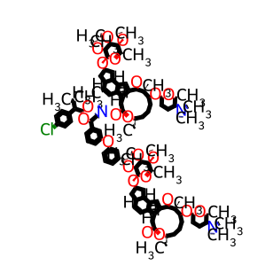 CC(C)C(C(=O)OC(C#N)c1cccc(Oc2ccccc2)c1)c1ccc(Cl)cc1.CC[C@H]1CCC[C@H](O[C@H]2CC[C@H](N(C)C)[C@@H](C)O2)[C@@H](C)C(=O)C2=C[C@@H]3[C@@H](C=C(C)[C@@H]4C[C@@H](O[C@@H]5O[C@@H](C)[C@H](OC)[C@@H](OC)[C@H]5OC)C[C@@H]34)[C@@H]2CC(=O)O1.CC[C@H]1CCC[C@H](O[C@H]2CC[C@H](N(C)C)[C@@H](C)O2)[C@@H](C)C(=O)C2=C[C@@H]3[C@@H](C=C[C@@H]4C[C@@H](O[C@@H]5O[C@@H](C)[C@H](OC)[C@@H](OC)[C@H]5OC)C[C@@H]34)[C@@H]2CC(=O)O1